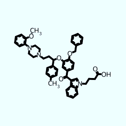 COc1ccccc1N1CCN(CCC(Oc2cc(C(=O)c3cn(CCCC(=O)O)c4ccccc34)ccc2OCc2ccccc2)c2ccc(C)cc2)CC1